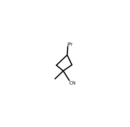 CC(C)C1CC(C)(C#N)C1